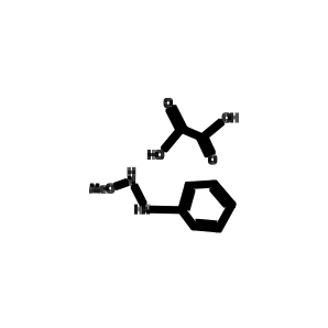 CONNc1ccccc1.O=C(O)C(=O)O